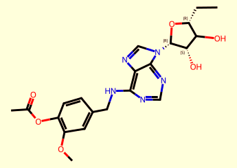 CC[C@H]1O[C@@H](n2cnc3c(NCc4ccc(OC(C)=O)c(OC)c4)ncnc32)[C@@H](O)C1O